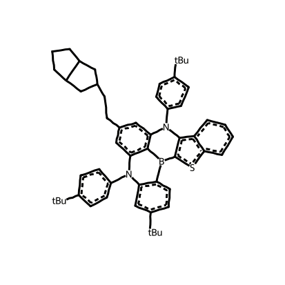 CC(C)(C)c1ccc(N2c3cc(C(C)(C)C)ccc3B3c4sc5ccccc5c4N(c4ccc(C(C)(C)C)cc4)c4cc(CCC5CC6CCCC6C5)cc2c43)cc1